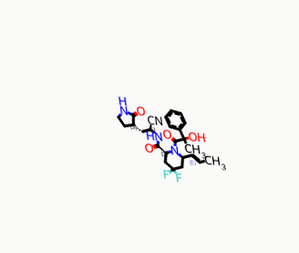 C/C=C/C1CC(F)(F)C[C@@H](C(=O)N[C@H](C#N)C[C@@H]2CCNC2=O)N1C(=O)C(C)(O)c1ccccc1